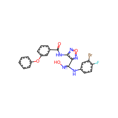 O=C(Nc1nonc1/C(=N\O)Nc1ccc(F)c(Br)c1)c1cccc(Oc2ccccc2)c1